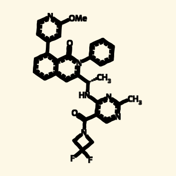 COc1cc(-c2cccc3cc([C@H](C)Nc4nc(C)ncc4C(=O)N4CC(F)(F)C4)n(-c4ccccc4)c(=O)c23)ccn1